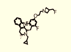 C[C@@H]1Cc2c([nH]c3ccccc23)[C@@H](Cc2c(F)cc(OCCN3CC(CF)C3)cc2F)N1CC1CC1